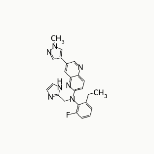 CCc1cccc(F)c1N(Cc1ncc[nH]1)c1ccc2ncc(-c3cnn(C)c3)cc2n1